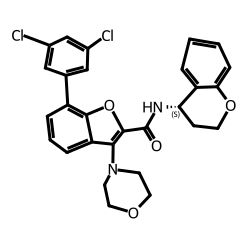 O=C(N[C@H]1CCOc2ccccc21)c1oc2c(-c3cc(Cl)cc(Cl)c3)cccc2c1N1CCOCC1